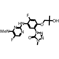 CNc1nc(Nc2cc(-n3nnn(C)c3=O)c(OCC(C)(C)O)cc2F)ncc1F